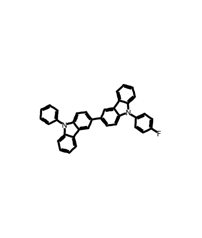 Fc1ccc(-n2c3ccccc3c3cc(-c4ccc5c(c4)c4ccccc4n5-c4ccccc4)ccc32)cc1